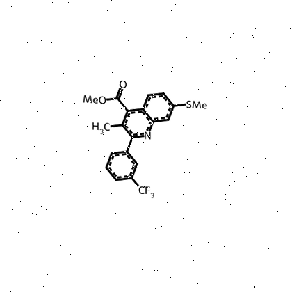 COC(=O)c1c(C)c(-c2cccc(C(F)(F)F)c2)nc2cc(SC)ccc12